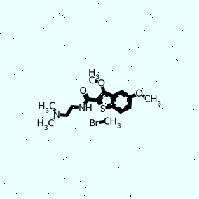 CBr.COc1ccc2sc(C(=O)NCCN(C)C)c(OC)c2c1